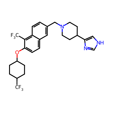 FC(F)(F)c1c(OC2CCC(C(F)(F)F)CC2)ccc2cc(CN3CCC(c4c[nH]cn4)CC3)ccc12